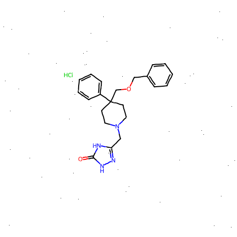 Cl.O=c1[nH]nc(CN2CCC(COCc3ccccc3)(c3ccccc3)CC2)[nH]1